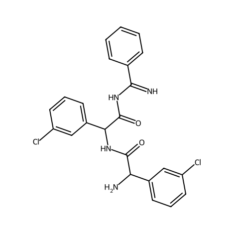 N=C(NC(=O)C(NC(=O)C(N)c1cccc(Cl)c1)c1cccc(Cl)c1)c1ccccc1